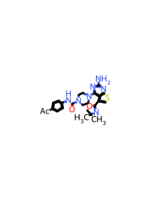 CC(=O)c1ccc(NC(=O)N2CCN(c3nc(N)nc4scc(C5=NC(C)(C)CO5)c34)CC2)cc1